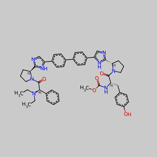 CCN(CC)[C@@H](C(=O)N1CCC[C@H]1c1ncc(-c2ccc(-c3ccc(-c4cnc([C@@H]5CCCN5C(=O)[C@H](Cc5ccc(O)cc5)NC(=O)OC)[nH]4)cc3)cc2)[nH]1)c1ccccc1